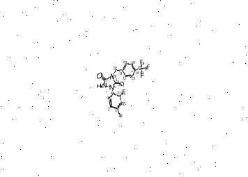 Cc1ccc(-n2[nH]c(=O)n(Cc3ccc(C(F)(F)F)cc3)c2=O)c(F)c1